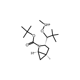 C[SiH](C)OC([C@@H]1C[C@@]2(C)C[C@H]2N1C(=O)OC(C)(C)C)C(C)(C)C